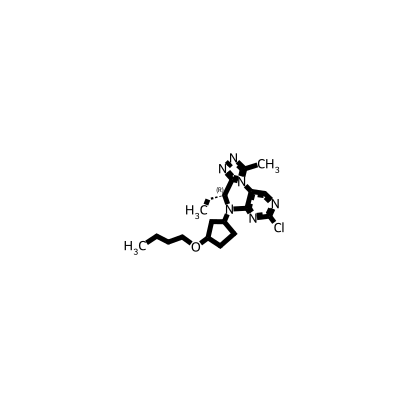 CCCCOC1CCC(N2c3nc(Cl)ncc3-n3c(C)nnc3[C@H]2CC)C1